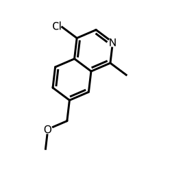 COCc1ccc2c(Cl)cnc(C)c2c1